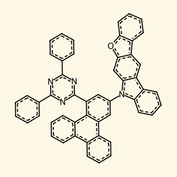 c1ccc(-c2nc(-c3ccccc3)nc(-c3cc(-n4c5ccccc5c5cc6c(cc54)oc4ccccc46)cc4c5ccccc5c5ccccc5c34)n2)cc1